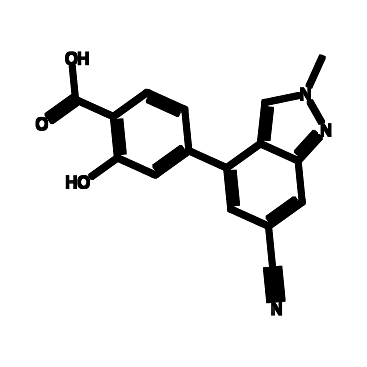 Cn1cc2c(-c3ccc(C(=O)O)c(O)c3)cc(C#N)cc2n1